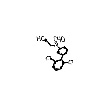 C#CCN(C=O)c1cccc(-c2c(Cl)cccc2Cl)c1